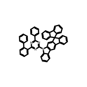 c1ccc(-c2nc(-c3ccccc3-c3ccccc3)nc(-n3c4ccccc4c4cc5c(cc43)C3(c4ccccc4-c4ccccc43)c3ccccc3-5)n2)cc1